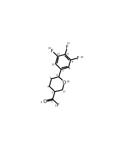 O=C(F)C1CCC(c2cc(F)c(F)c(F)c2)OC1